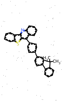 CC1(C)c2ccccc2-c2ccc(-c3ccc(-c4c5ccccc5nc5c4sc4ccccc45)cc3)cc21